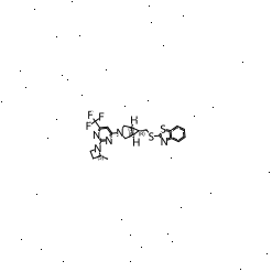 C[C@H]1CCN1c1nc(N2C[C@@H]3[C@@H](CSc4nc5ccccc5s4)[C@@H]3C2)cc(C(F)(F)F)n1